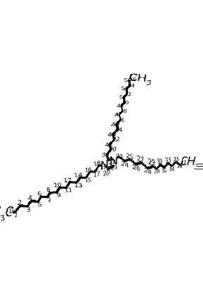 CCCCCCCCCCCCCCCCCCCN1C=CN(CCCCCCCCCCCCCCC)C1CCCCCCCCCCCCCCCCCC